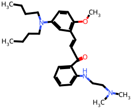 CCCCN(CCCC)c1ccc(OC)c(C=CC(=O)c2ccccc2NCCN(C)C)c1